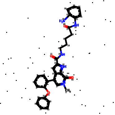 Cn1cc(-c2ccccc2Oc2ccccc2)c2cc(C(=O)NCCCCC(=O)Nc3ccccc3N)[nH]c2c1=O